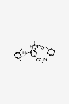 CCOC(=O)c1cc(NCc2c(C)cccc2C)c2nc(C)n(COCc3ccccc3)c2c1